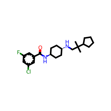 CC(C)(CN[C@H]1CC[C@H](NC(=O)c2cc(F)cc(Cl)c2)CC1)C1CCCC1